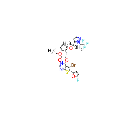 BC(B)(Oc1ccccc1C[C@H](Oc1ncnc2sc(-c3ccc(F)o3)c(Br)c12)C(=O)OCC)c1ccnn1CC(F)(F)F